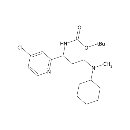 CN(CCC(NC(=O)OC(C)(C)C)c1cc(Cl)ccn1)C1CCCCC1